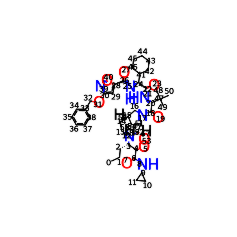 CCC[C@@H](C(=O)C(=O)NC1CC1)N1CC[C@H]2CN(C(=O)[C@@H](NC(=O)[C@@H](NC(=O)c3cc(OCc4ccccc4)no3)C3CCCCC3)C(C)(C)C)[C@H](C1=O)[C@H]2C